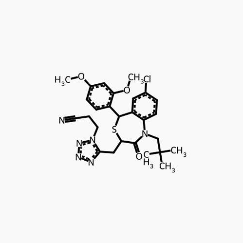 COc1ccc(C2SC(Cc3nnnn3CCC#N)C(=O)N(CC(C)(C)C)c3ccc(Cl)cc32)c(OC)c1